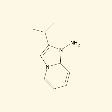 CC(C)C1=CN2C=CC=CC2N1N